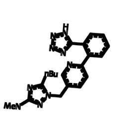 CCCCc1nc(NC)nn1Cc1ccc(-c2ccccc2-c2nnn[nH]2)nc1